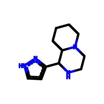 c1cc(C2NCCN3CCCCC23)n[nH]1